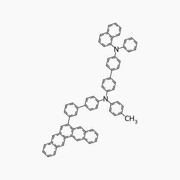 Cc1ccc(N(c2ccc(-c3ccc(N(c4ccccc4)c4cccc5ccccc45)cc3)cc2)c2ccc(-c3cccc(-c4cc5cc6ccccc6cc5c5cc6ccccc6cc45)c3)cc2)cc1